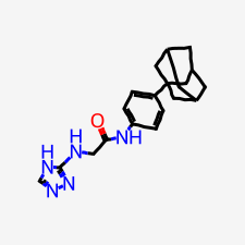 O=C(CNc1nnc[nH]1)Nc1ccc(C23CC4CC(CC(C4)C2)C3)cc1